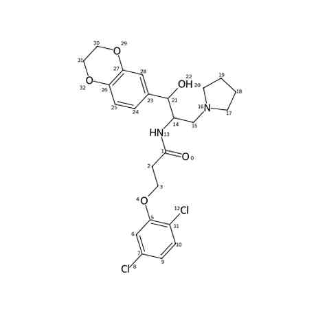 O=C(CCOc1cc(Cl)ccc1Cl)NC(CN1CCCC1)C(O)c1ccc2c(c1)OCCO2